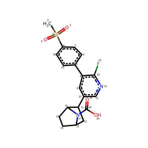 CS(=O)(=O)c1ccc(-c2cc(C3CC4CCC3N4C(=O)O)cnc2F)cc1